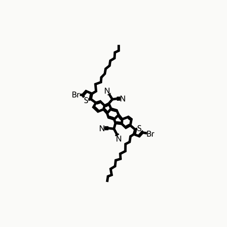 CCCCCCCCCCCCc1cc(Br)sc1-c1ccc2c(c1)=C(C(C#N)C#N)c1cc3c(cc1=2)C(C(C#N)C#N)=c1cc(-c2sc(Br)cc2CCCCCCCCCCCC)ccc1=3